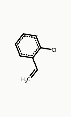 C=Cc1ccc[c]c1Cl